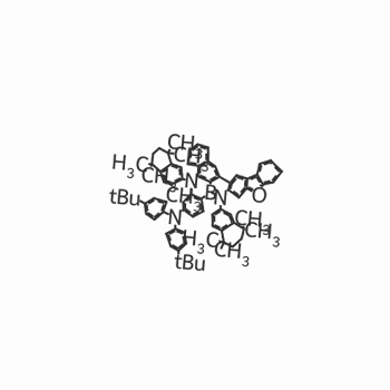 Cc1cc2c(cc1N1c3cc(N(c4ccc(C(C)(C)C)cc4)c4ccc(C(C)(C)C)cc4)ccc3B3c4c(cc5ccccc5c41)-c1cc4c(cc1N3c1ccc3c(c1)C(C)(C)CCC3(C)C)oc1ccccc14)C(C)(C)CCC2(C)C